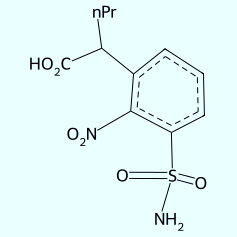 CCCC(C(=O)O)c1cccc(S(N)(=O)=O)c1[N+](=O)[O-]